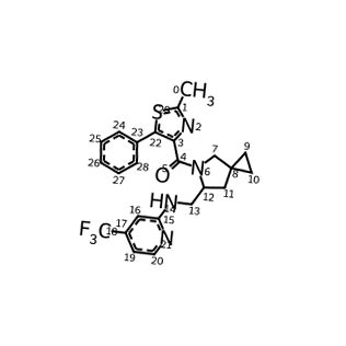 Cc1nc(C(=O)N2CC3(CC3)CC2CNc2cc(C(F)(F)F)ccn2)c(-c2ccccc2)s1